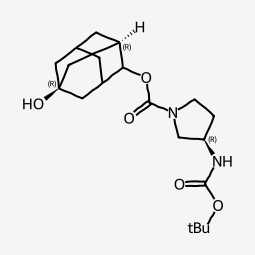 CC(C)(C)OC(=O)N[C@@H]1CCN(C(=O)OC2C3CC4C[C@@H]2C[C@@](O)(C4)C3)C1